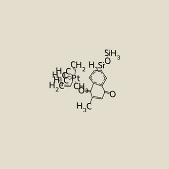 C=[CH][Pt]([CH3])([CH3])([CH3])([CH3])[CH]=C.CC1=CC(=O)c2ccccc2C1=O.[SiH3]O[SiH3]